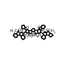 CC1(C)c2ccccc2-c2c1cc(-c1cc3c(c4oc5ccccc5c14)-c1ccc4c(c1C3(C)C)C(C)(C)c1cc(-c3cc5c(c6ccccc36)-c3ccccc3C5(C)C)c3c(oc5ccccc53)c1-4)c1ccccc21